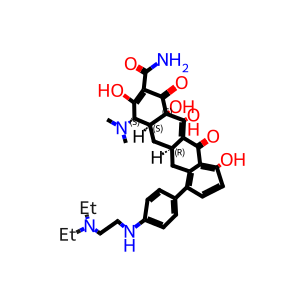 CCN(CC)CCNc1ccc(-c2ccc(O)c3c2C[C@H]2C[C@H]4[C@H](N(C)C)C(O)=C(C(N)=O)C(=O)[C@@]4(O)C(O)=C2C3=O)cc1